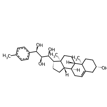 Cc1ccc([C@@H](O)[C@H](O)[C@@H](O)[C@H]2CC[C@H]3[C@@H]4CC=C5C[C@@H](O)CC[C@]5(C)[C@H]4CC[C@]23C)cc1